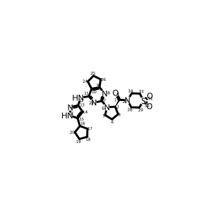 O=C([C@H]1CCCN1c1nc2c(c(Nc3cc(C4CCCC4)[nH]n3)n1)CCC2)N1CCS(=O)(=O)CC1